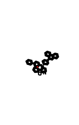 c1ccc(-c2ccc(N(c3ccc(-c4cc5ccccc5c5ccccc45)cc3)c3ccnc4oc5ccccc5c34)cc2)cc1